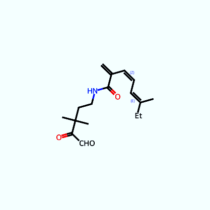 C=C(/C=C\C=C(/C)CC)C(=O)NCCC(C)(C)C(=O)C=O